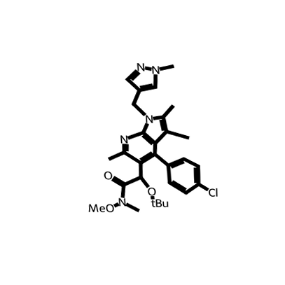 CON(C)C(=O)C(OC(C)(C)C)c1c(C)nc2c(c(C)c(C)n2Cc2cnn(C)c2)c1-c1ccc(Cl)cc1